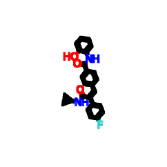 O=C(NC1CC1)C(=Cc1ccc(C(=O)Nc2ccccc2O)cc1)c1ccc(F)cc1